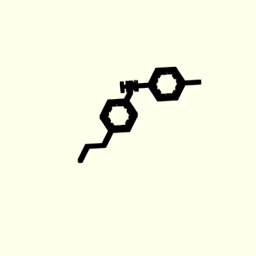 CCCc1ccc(Nc2ccc(C)cc2)cc1